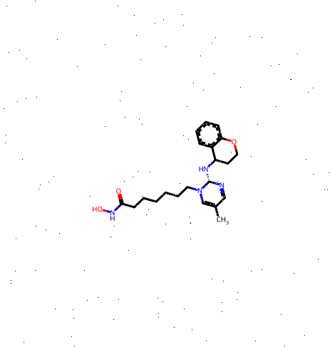 CC1=CN(CCCCCCC(=O)NO)[C@H](NC2CCOc3ccccc32)N=C1